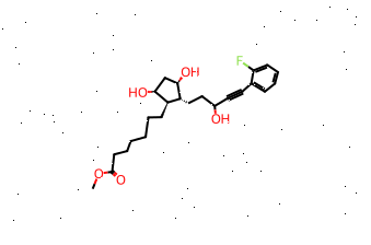 COC(=O)CCCCCC[C@@H]1[C@@H](CCC(O)C#Cc2ccccc2F)[C@H](O)C[C@@H]1O